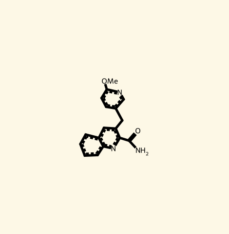 COc1ccc(Cc2cc3ccccc3nc2C(N)=O)cn1